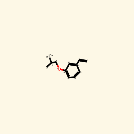 C=Cc1cccc(OCC(C)C(C)C)c1